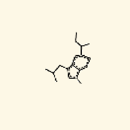 CCC(C)c1ccc2c(c1)c(CC(C)C)cn2C